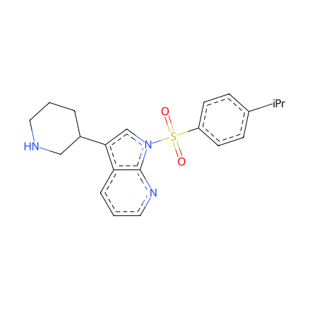 CC(C)c1ccc(S(=O)(=O)n2cc(C3CCCNC3)c3cccnc32)cc1